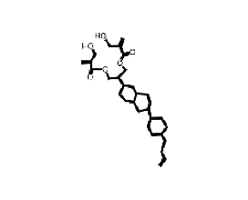 C=CCCC1CCC(C2CCC3CC(C(COC(=O)C(=C)CO)COC(=O)C(=C)CO)CCC3C2)CC1